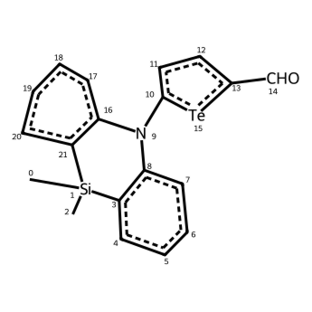 C[Si]1(C)c2ccccc2N(c2ccc(C=O)[te]2)c2ccccc21